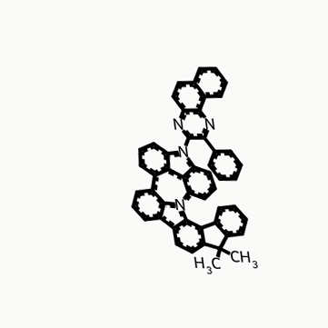 CC1(C)c2ccccc2-c2c1ccc1c3cccc4c5cccc6c5c5c(cccc5n(c21)c43)n6-c1nc2ccc3ccccc3c2nc1-c1ccccc1